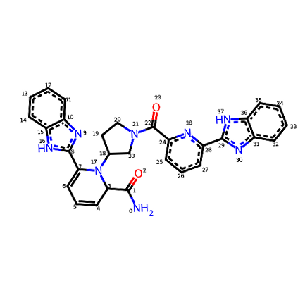 NC(=O)C1C=CC=C(c2nc3ccccc3[nH]2)N1C1CCN(C(=O)c2cccc(-c3nc4ccccc4[nH]3)n2)C1